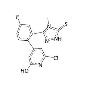 Cn1c(-c2cc(F)ccc2-c2cc(O)nc(Cl)c2)n[nH]c1=S